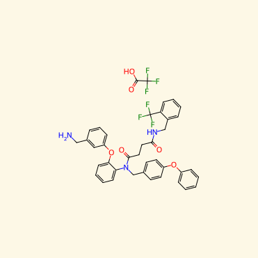 NCc1cccc(Oc2ccccc2N(Cc2ccc(Oc3ccccc3)cc2)C(=O)CCC(=O)NCc2ccccc2C(F)(F)F)c1.O=C(O)C(F)(F)F